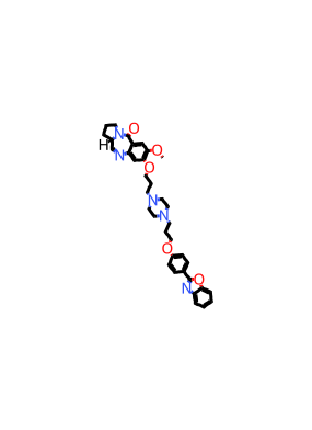 COc1cc2c(cc1OCCCN1CCN(CCCOc3ccc(-c4nc5ccccc5o4)cc3)CC1)N=C[C@@H]1CCCN1C2=O